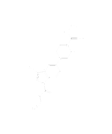 CC(=O)c1cn(C(=O)COC(C)(C)C)c2ccc(N3CCN(C(=O)OC(C)(C)C)CC3)cc12